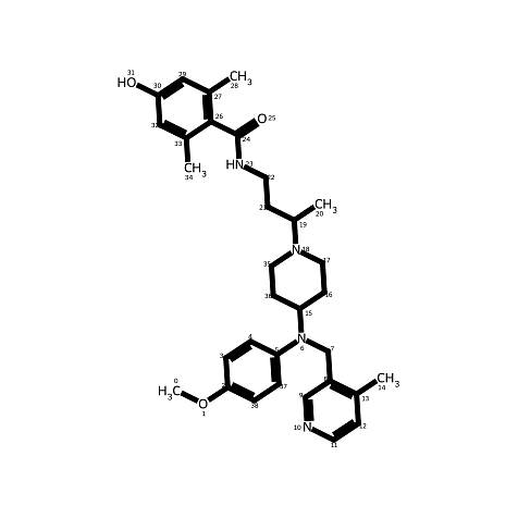 COc1ccc(N(Cc2cnccc2C)C2CCN(C(C)CCNC(=O)c3c(C)cc(O)cc3C)CC2)cc1